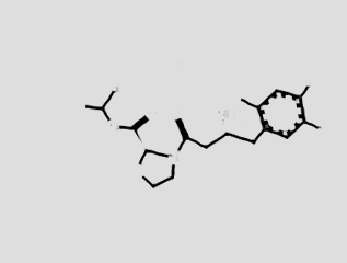 CC(C)C(NC(=O)[C@@H]1SCCN1C(=O)C[C@H](N)Cc1cc(F)c(F)cc1F)C(=O)O.Cl